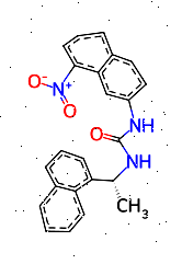 C[C@@H](NC(=O)Nc1ccc2cccc([N+](=O)[O-])c2c1)c1cccc2ccccc12